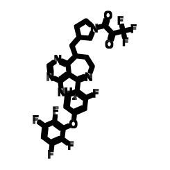 Nc1ncnc2c1C(c1ccc(Oc3c(F)c(F)cc(F)c3F)cc1F)=NCCC2CC1CCN(C(=O)C(=O)C(F)(F)F)C1